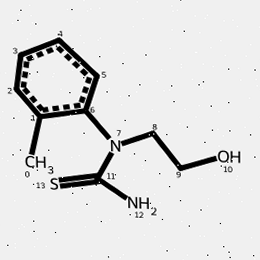 Cc1ccccc1N(CCO)C(N)=S